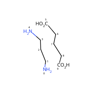 NCCCN.O=C(O)CCCC(=O)O